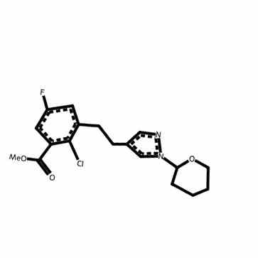 COC(=O)c1cc(F)cc(CCc2cnn(C3CCCCO3)c2)c1Cl